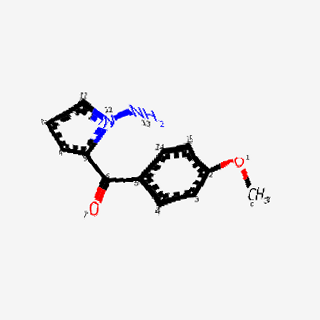 COc1ccc(C(=O)c2cccn2N)cc1